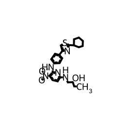 CCC(O)CNc1ccc([N+](=O)[O-])c(Nc2ccc(-c3csc(C4CCCCC4)n3)cc2)n1